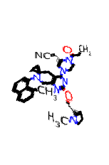 C=CC(=O)N1CCN(c2nc(OC[C@@H]3CCCN3C)nc3c2CC2(CC2)N(c2cccc4cccc(C)c24)C3)C[C@@H]1CC#N